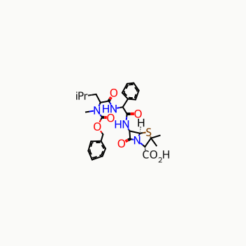 CC(C)CC(C(=O)NC(C(=O)NC1C(=O)N2[C@@H]1SC(C)(C)[C@@H]2C(=O)O)c1ccccc1)N(C)C(=O)OCc1ccccc1